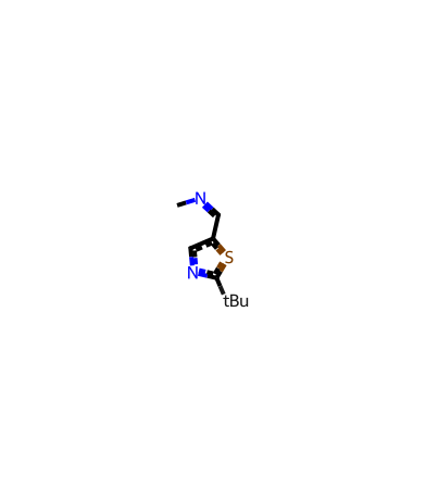 C/N=C\c1cnc(C(C)(C)C)s1